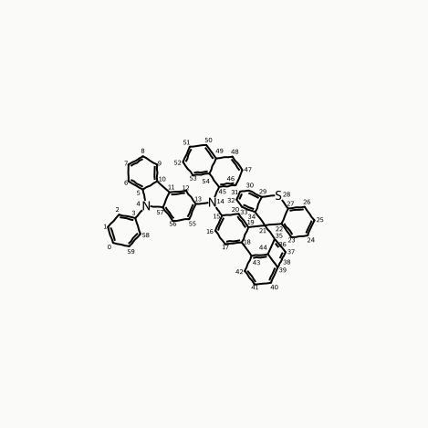 c1ccc(-n2c3ccccc3c3cc(N(c4ccc5c(c4)C4(c6ccccc6Sc6ccccc64)c4cccc6cccc-5c46)c4cccc5ccccc45)ccc32)cc1